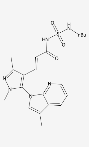 CCCCNS(=O)(=O)NC(=O)C=Cc1c(C)nn(C)c1-n1cc(C)c2cccnc21